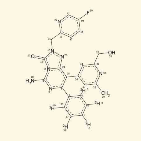 [2H]c1c([2H])c([2H])c(-c2nc(N)n3c(=O)n(Cc4ccc(F)cn4)nc3c2-c2cc(C)nc(CO)c2)c([2H])c1[2H]